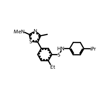 CCc1ccc(-c2sc(NC)nc2C)cc1SNC1=CC=C(C(C)C)CC1